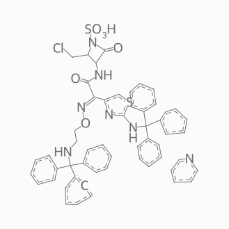 O=C(NC1C(=O)N(S(=O)(=O)O)C1CCl)C(=NOCCNC(c1ccccc1)(c1ccccc1)c1ccccc1)c1csc(NC(c2ccccc2)(c2ccccc2)c2ccccc2)n1.c1ccncc1